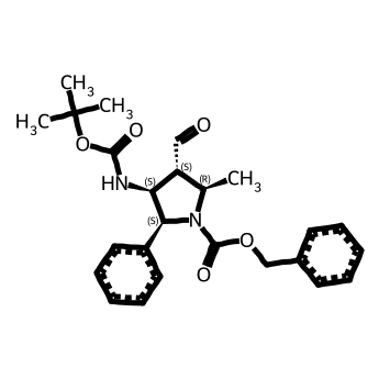 C[C@@H]1[C@@H](C=O)[C@H](NC(=O)OC(C)(C)C)[C@H](c2ccccc2)N1C(=O)OCc1ccccc1